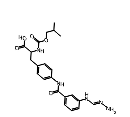 CC(C)COC(=O)NC(Cc1ccc(NC(=O)c2cccc(NC=NN)c2)cc1)C(=O)O